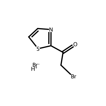 O=C(CBr)c1nccs1.[Br-].[H+]